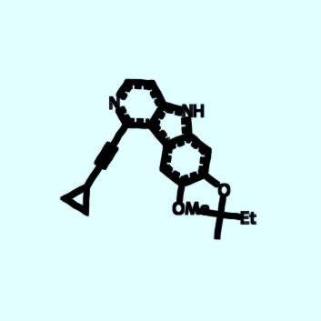 [CH2]CC(C)(C)Oc1cc2[nH]c3ccnc(C#CC4CC4)c3c2cc1OC